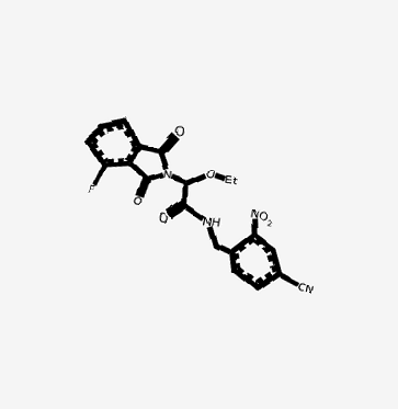 CCOC(C(=O)NCc1ccc(C#N)cc1[N+](=O)[O-])N1C(=O)c2cccc(F)c2C1=O